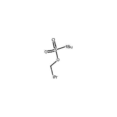 CC(C)COS(=O)(=O)C(C)(C)C